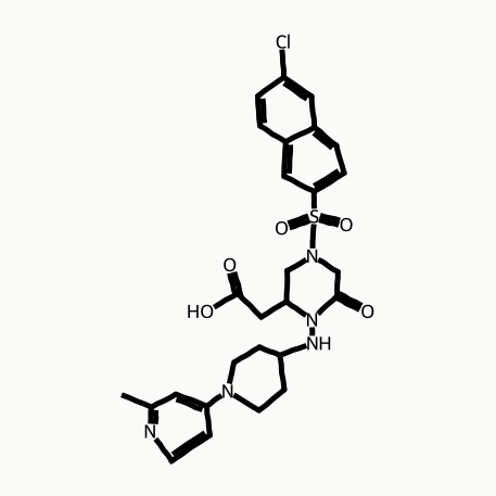 Cc1cc(N2CCC(NN3C(=O)CN(S(=O)(=O)c4ccc5cc(Cl)ccc5c4)CC3CC(=O)O)CC2)ccn1